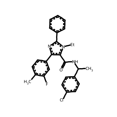 CCn1c(-c2ccccc2)nc(-c2ccc(C)c(F)c2)c1C(=O)NC(C)c1ccc(Cl)cc1